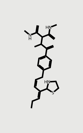 C=C(c1ccc(C/C=C\C(=C/CC)C2NCCS2)cc1)C(C)C(C(=C)NC)C(=C)NC